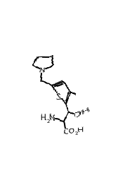 Cc1cc(CN2CCCC2)sc1C(O)C(N)C(=O)O